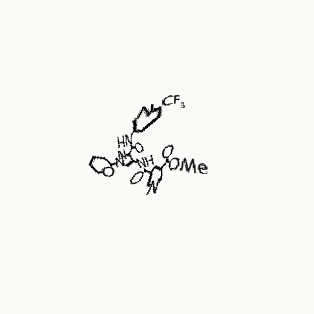 COC(=O)c1cncc(C(=O)Nc2cn(C3CCCCO3)nc2C(=O)Nc2ccc(C(F)(F)F)nc2)c1